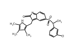 Cc1[nH]c(CC2=c3cc(S(=O)(=O)N(C)c4cccc(Cl)c4)ccc3=NC2=O)c(C)c1C